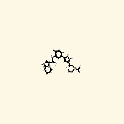 CC(=O)N1CCOC(c2nc(-c3ccc(C)c(NC(=O)c4cnc5ccccn45)c3)no2)C1